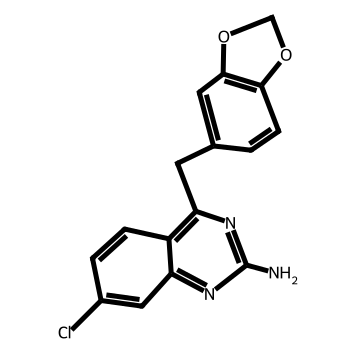 Nc1nc(Cc2ccc3c(c2)OCO3)c2ccc(Cl)cc2n1